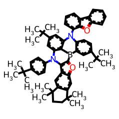 CC(C)(C)c1ccc(N2c3cc(C(C)(C)C)cc4c3B(c3cc(C(C)(C)C)ccc3N4c3cccc4c3oc3ccccc34)c3oc4cc5c(cc4c32)C(C)(C)CCC5(C)C)cc1